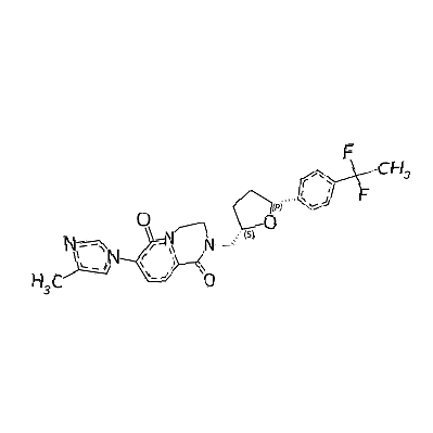 Cc1cn(-c2ccc3n(c2=O)CCN(C[C@@H]2CC[C@H](c4ccc(C(C)(F)F)cc4)O2)C3=O)cn1